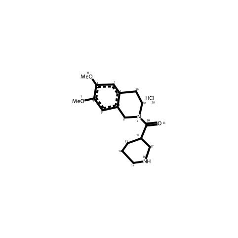 COc1cc2c(cc1OC)CN(C(=O)C1CCCNC1)CC2.Cl